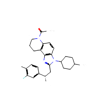 COC(=O)N1c2ccc3c(nc(C[C@@H](C(=O)O)c4ccc(C)c(F)c4)n3C3CCC(OC)CC3)c2CC[C@@H]1C